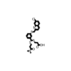 CN(C)C(=O)CCSC(SCCC(=O)O)c1cccc(SCc2ccc3ccc(Cl)cc3n2)c1